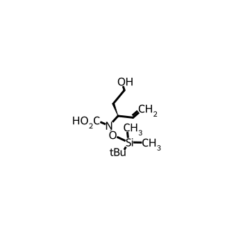 C=C[C@H](CCO)N(O[Si](C)(C)C(C)(C)C)C(=O)O